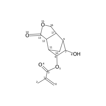 C=C(C)C(=O)OC1C(O)C2CC1C1C(=O)OCC21